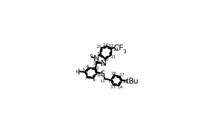 Cn1c(-c2cc(I)ccc2SCc2ccc(C(C)(C)C)cc2)nc2cc(C(F)(F)F)ccc21